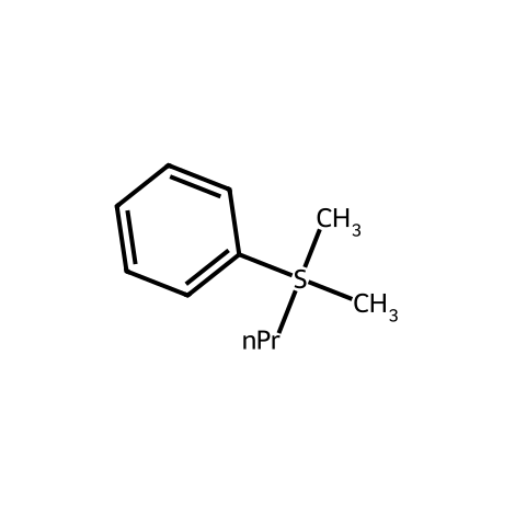 CCCS(C)(C)c1ccccc1